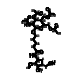 CO[C@@H]1[C@H](O)[C@@H](CO)C[C@H]1NC(=O)CCCCOC1OC(COC(C)=O)C(COC(C)=O)C(OC(C)=O)C1NC(C)=O